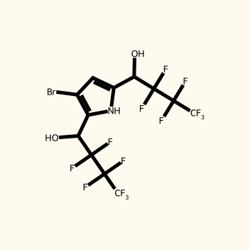 OC(c1cc(Br)c(C(O)C(F)(F)C(F)(F)C(F)(F)F)[nH]1)C(F)(F)C(F)(F)C(F)(F)F